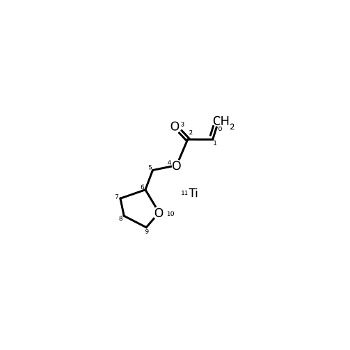 C=CC(=O)OCC1CCCO1.[Ti]